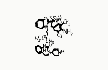 CN(C)CCCn1c(C(N)(Cc2cc(Cl)c(N)c(C(F)(F)F)c2)C(=O)O)nc2ccccc21.O=C1Nc2ccccc2CCN1C1CCNCC1